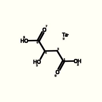 O=C(O)CC(O)C(=O)O.[Ta]